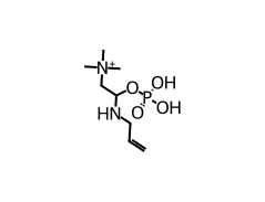 C=CCNC(C[N+](C)(C)C)OP(=O)(O)O